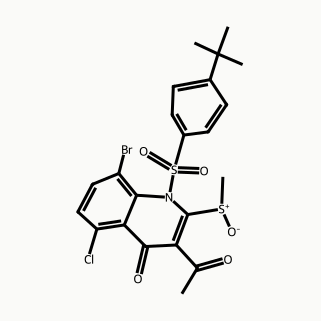 CC(=O)c1c([S+](C)[O-])n(S(=O)(=O)c2ccc(C(C)(C)C)cc2)c2c(Br)ccc(Cl)c2c1=O